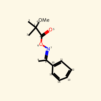 COC(C)(C)C(=O)O/N=C(\C)c1ccccc1